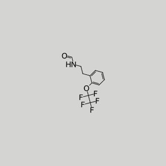 O=CNCCc1ccccc1OC(F)(F)C(F)(F)F